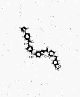 Br.Cn1c(C(=O)N2CCN(Cc3ccc4c(c3)OCO4)CC2)cc2cc(Oc3ccc(NC(=O)c4ccc(-n5cccc5)cc4)cn3)ccc21